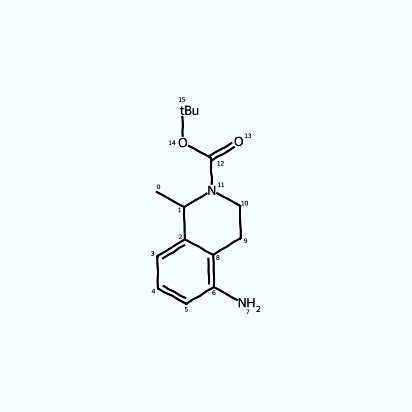 CC1c2cccc(N)c2CCN1C(=O)OC(C)(C)C